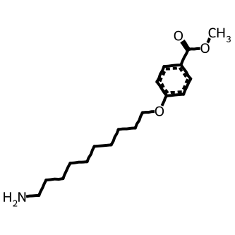 COC(=O)c1ccc(OCCCCCCCCCCN)cc1